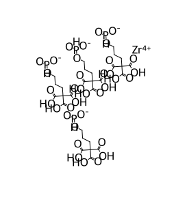 O=C(O)C(CCCO[PH](=O)[O-])(C(=O)O)C(=O)O.O=C(O)C(CCCO[PH](=O)[O-])(C(=O)O)C(=O)O.O=C(O)C(CCCO[PH](=O)[O-])(C(=O)O)C(=O)O.O=C(O)C(CCCO[PH](=O)[O-])(C(=O)O)C(=O)O.[Zr+4]